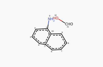 Nc1cccc2ccccc12.O=CO